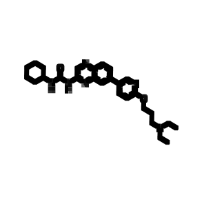 CCN(CC)CCCOc1ccc(-c2ccc3ncc(NC(=O)NC4CCCCC4)nc3c2)cn1